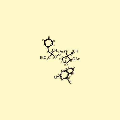 C#C[C@@]1(OC(C)=O)[C@@H](COC(C)(Cc2ccccc2)C(=O)OCC)O[C@@H](n2cnc3c(Cl)nc(Cl)nc32)[C@@H]1OC(C)=O